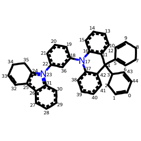 C1=CCC(C2(C3=CCCC=C3)c3ccccc3N(c3cccc(-n4c5c(c6ccccc64)C=CCC5)c3)c3ccccc32)C=C1